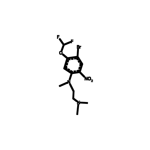 CN(C)CCN(C)c1cc(OC(F)F)c(Br)cc1[N+](=O)[O-]